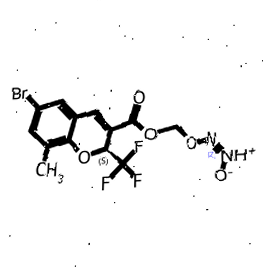 Cc1cc(Br)cc2c1O[C@H](C(F)(F)F)C(C(=O)OCO/N=[NH+]\[O-])=C2